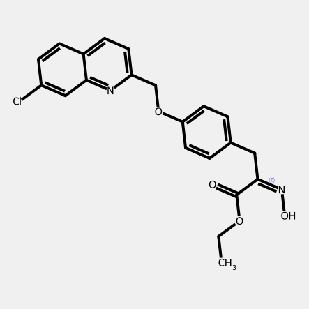 CCOC(=O)/C(Cc1ccc(OCc2ccc3ccc(Cl)cc3n2)cc1)=N\O